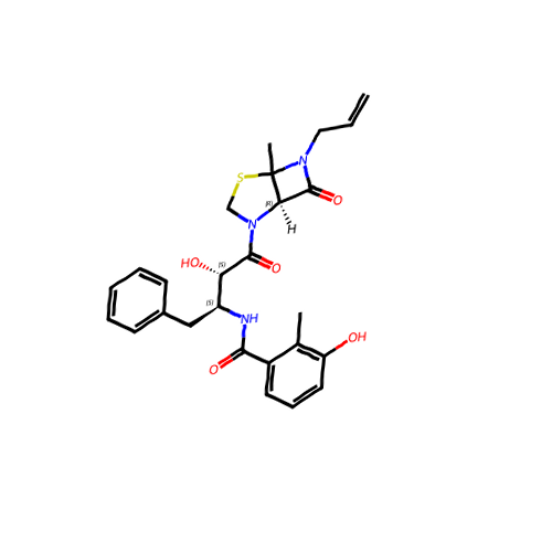 C=CCN1C(=O)[C@H]2N(C(=O)[C@@H](O)[C@H](Cc3ccccc3)NC(=O)c3cccc(O)c3C)CSC21C